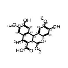 [2H]C1=C(C(=O)O)C(C(=O)OC)C(c2ccc(O)c(OC)c2)c2cc(O)c(OC)cc21